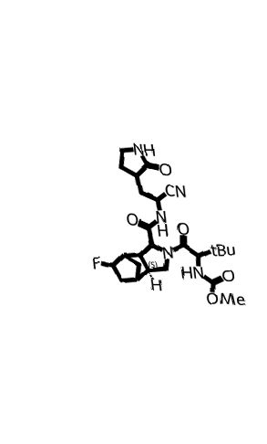 COC(=O)NC(C(=O)N1C[C@H]2C3CC(F)C(C3)C2C1C(=O)NC(C#N)CC1CCNC1=O)C(C)(C)C